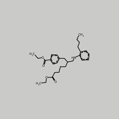 CCCCc1ccccc1NCC(CCCCC(=O)OCC)Cc1ccc(C(=O)OCC)cc1